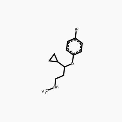 CNCCC(Oc1ccc(Br)cc1)C1CC1